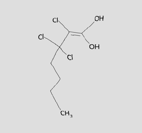 CCCCC(Cl)(Cl)C(Cl)=C(O)O